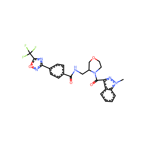 Cn1nc(C(=O)N2CCOCC2CNC(=O)c2ccc(-c3noc(C(F)(F)F)n3)cc2)c2ccccc21